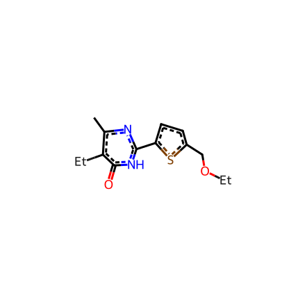 CCOCc1ccc(-c2nc(C)c(CC)c(=O)[nH]2)s1